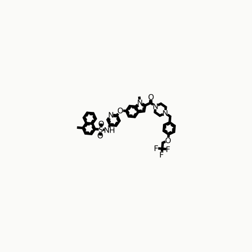 Cc1ccc(S(=O)(=O)Nc2ccc(Oc3ccc4cc(C(=O)N5CCN(Cc6ccc(OCC(F)(F)F)cc6)CC5)n(C)c4c3)nc2)c2ccccc12